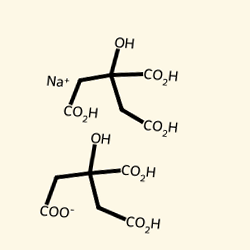 O=C(O)CC(O)(CC(=O)O)C(=O)O.O=C([O-])CC(O)(CC(=O)O)C(=O)O.[Na+]